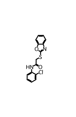 O=C(CSc1nc2ccccc2o1)Nc1ccccc1Cl